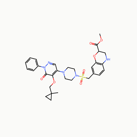 COC(=O)C1CNc2ccc(CS(=O)(=O)N3CCN(c4cnn(-c5ccccc5)c(=O)c4OCC4(C)CC4)CC3)cc2O1